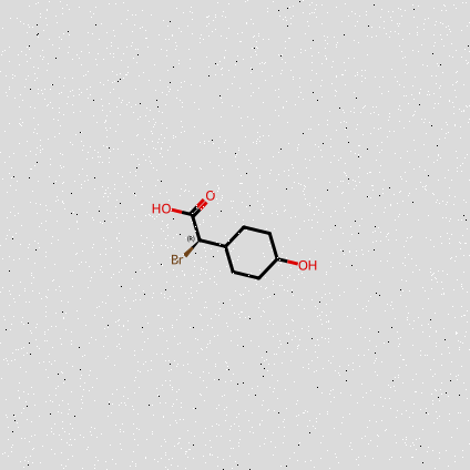 O=C(O)[C@H](Br)C1CCC(O)CC1